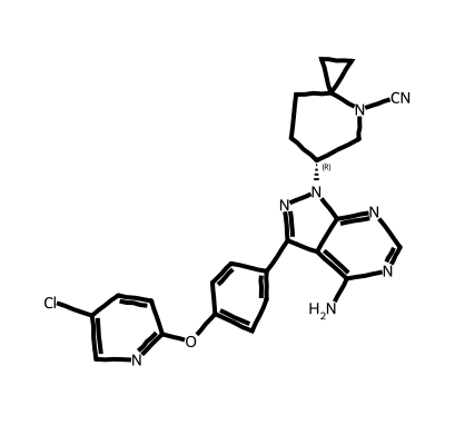 N#CN1C[C@H](n2nc(-c3ccc(Oc4ccc(Cl)cn4)cc3)c3c(N)ncnc32)CCC12CC2